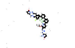 COc1nc(-c2cccc(-c3cccc(-c4cc(F)c5c(c4)CCN(C[C@H]4CCC(=O)N4)C5)c3Cl)c2Cl)ccc1CNC[C@H]1CCC(=O)N1